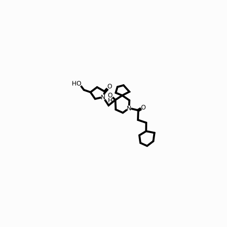 O=C1CC(CO)CN1CC1(O)CCN(C(=O)CCC2CCCCC2)CC12CCCC2